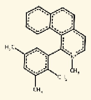 Cc1cc(C)c(C)c(-c2c3c(ccc4ccccc43)cc[n+]2C)c1